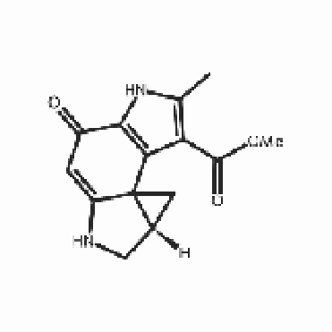 COC(=O)c1c(C)[nH]c2c1C13C[C@@H]1CNC3=CC2=O